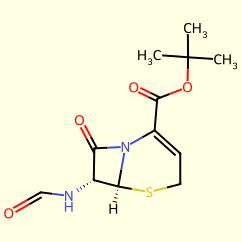 CC(C)(C)OC(=O)C1=CCS[C@H]2[C@H](NC=O)C(=O)N12